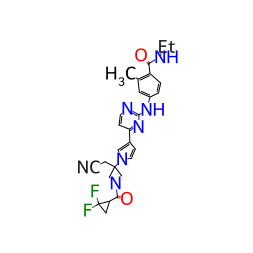 CCNC(=O)c1ccc(Nc2nccc(-c3ccn(C4(CC#N)CN(C(=O)C5CC5(F)F)C4)c3)n2)cc1C